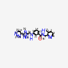 Cc1cccnc1[C@H](C)NC(=O)c1cccc(NCc2nnc(-c3ccncn3)n2C)c1